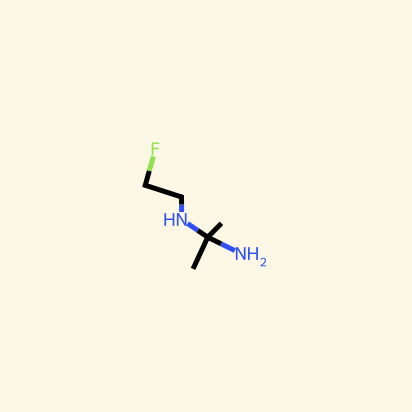 CC(C)(N)NCCF